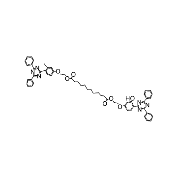 Cc1cc(OCCOC(=O)CCCCCCCCCCC(=O)OCCOc2ccc(-c3nc(-c4ccccc4)nc(-c4ccccc4)n3)c(O)c2)ccc1-c1nc(-c2ccccc2)nc(-c2ccccc2)n1